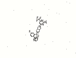 CN(C)c1nc(N2CC3CN(C(=O)c4cc(F)ccc4-n4nccn4)CC3C2)cc(C(F)(F)F)n1